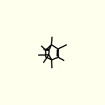 CC1=C(C)C2(C)CC(C)C1(C)C(=O)C2(C)C